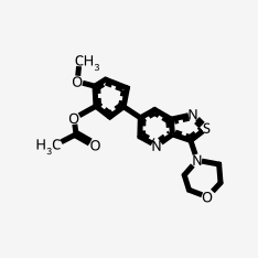 COc1ccc(-c2cnc3c(N4CCOCC4)snc3c2)cc1OC(C)=O